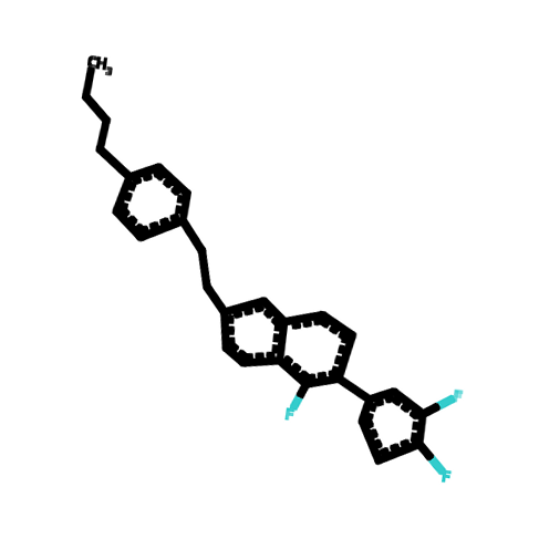 CCCCc1ccc(CCc2ccc3c(F)c(-c4ccc(F)c(F)c4)ccc3c2)cc1